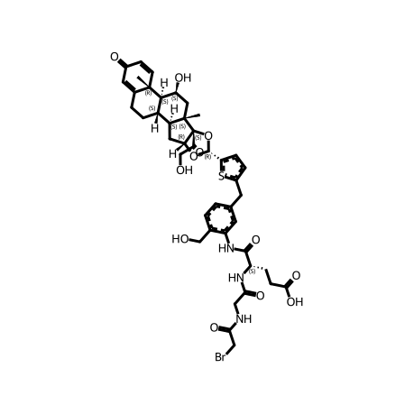 C[C@]12C=CC(=O)C=C1CC[C@@H]1[C@@H]2[C@@H](O)C[C@@]2(C)[C@H]1C[C@H]1O[C@@H](c3ccc(Cc4ccc(CO)c(NC(=O)[C@H](CCC(=O)O)NC(=O)CNC(=O)CBr)c4)s3)O[C@]12C(=O)CO